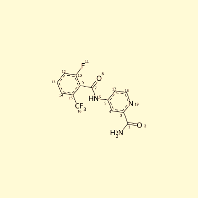 NC(=O)c1cc(NC(=O)c2c(F)cccc2C(F)(F)F)ccn1